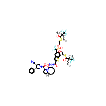 CC(C)(C(=O)SCCOP(=O)(OCCSC(=O)C(C)(C)C(F)(F)F)C(F)(F)c1ccc2sc(C(=O)N[C@H]3CCCC[C@H]4CC[C@@H](C(=O)N5C[C@H](c6ccccc6)[C@@H](C#N)C5)N4C3=O)cc2c1)C(F)(F)F